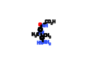 Cc1cc(C(=N)N)ccc1-c1nc2cc(C(=O)NCCC(=O)O)ccc2n1C